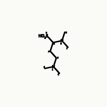 CN(C)CCC(N(C)C)S(=O)(=O)O